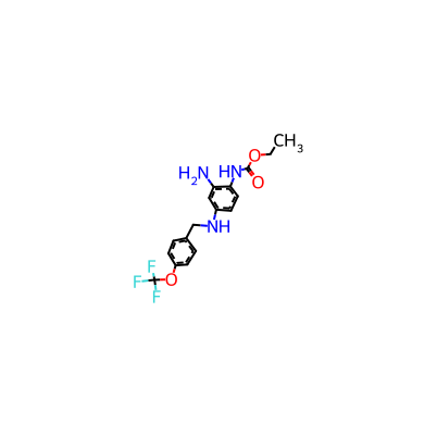 CCOC(=O)Nc1ccc(NCc2ccc(OC(F)(F)F)cc2)cc1N